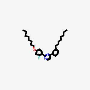 CCCCCCCCOc1ccc(-c2nccc(-c3cccc(CCCCCCCC)c3)n2)c(F)c1